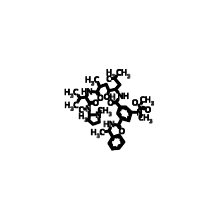 CC(C)CC(NC(=O)c1cc(C(=O)NC(C)c2ccccc2)cc(N(C)S(C)(=O)=O)c1)C(O)CC(C)C(=O)NC(C(=O)N(C)C1CCCN1C)C(C)C